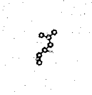 Cc1cc(-c2ccc3oc4ccccc4c3c2)ccc1-c1cccc(-c2cc(-c3ccccc3)cc(-c3ccccc3)n2)c1